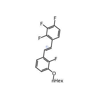 CCCCCCOc1cccc(/C=C/c2ccc(F)c(F)c2F)c1F